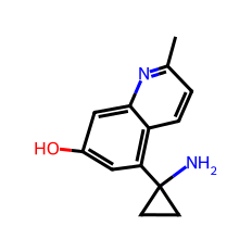 Cc1ccc2c(C3(N)CC3)cc(O)cc2n1